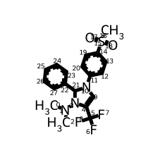 CN(C)N1C(C(F)(F)F)=CN(c2ccc(S(C)(=O)=O)cc2)C1c1ccccc1